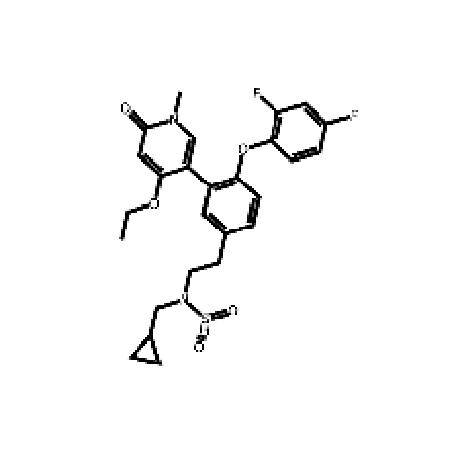 CCOc1cc(=O)n(C)cc1-c1cc(CCN(CC2CC2)[SH](=O)=O)ccc1Oc1ccc(F)cc1F